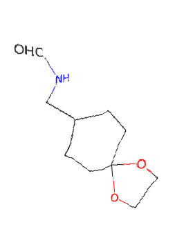 O=CNCC1CCC2(CC1)OCCO2